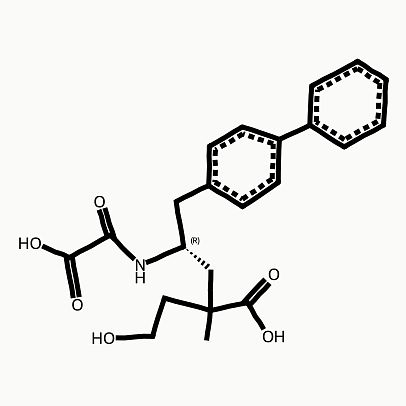 CC(CCO)(C[C@@H](Cc1ccc(-c2ccccc2)cc1)NC(=O)C(=O)O)C(=O)O